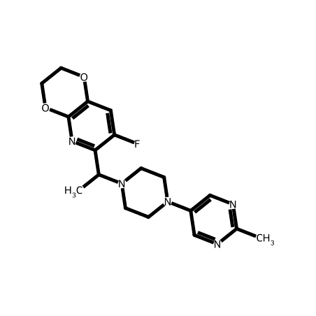 Cc1ncc(N2CCN(C(C)c3nc4c(cc3F)OCCO4)CC2)cn1